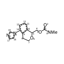 CNC(=O)OCC1OCCc2c1cccc2-n1ccnc1